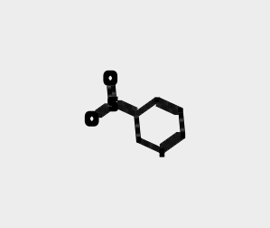 O=S(=O)=C1C=CC=[C]C1